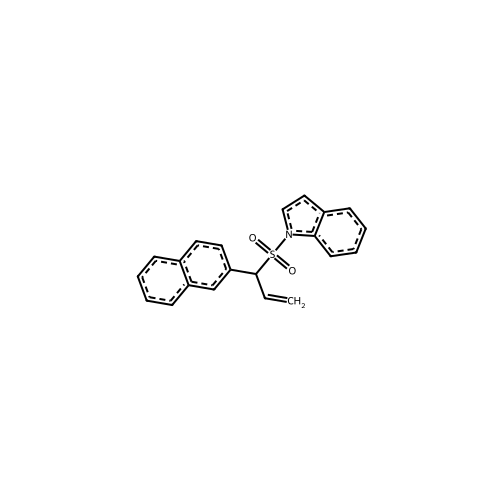 C=CC(c1ccc2ccccc2c1)S(=O)(=O)n1ccc2ccccc21